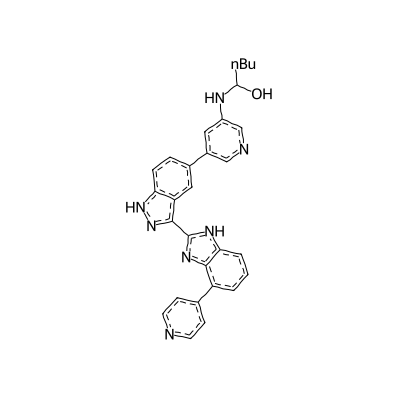 CCCCC(O)Nc1cncc(-c2ccc3[nH]nc(-c4nc5c(-c6ccncc6)cccc5[nH]4)c3c2)c1